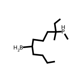 BC(CCCC)CCCC(C)(CC)PC